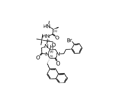 CN[C@@H](C)C(=O)N[C@](C=O)(N1CC(=O)N2[C@@H](Cc3ccc4ccccc4c3)C(=O)N(CCc3ccccc3Br)C[C@@H]21)C(C)(C)C